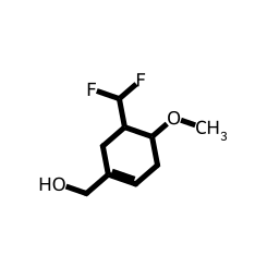 COC1CC=C(CO)CC1C(F)F